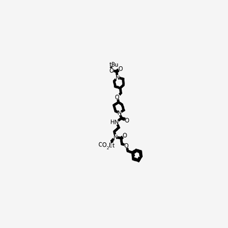 CCOC(=O)CN(CCNC(=O)N1CCC(OCC2CCN(C(=O)OC(C)(C)C)CC2)CC1)C(=O)COCc1ccccc1